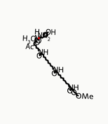 COCCOCC(=O)NCCCCCCCCCCC(=O)NCCCCCCCCCCC(=O)NCCCC[C@H](CC(=O)[C@@H](C)NC(=O)[C@@H](N)Cc1ccc(O)cc1)C(C)=O